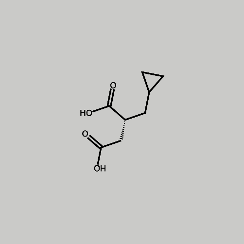 O=C(O)C[C@@H](CC1CC1)C(=O)O